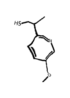 COc1ccc(C(C)S)nc1